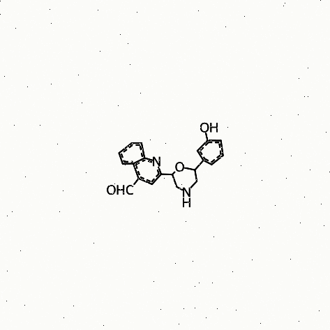 O=Cc1cc(C2CNCC(c3cccc(O)c3)O2)nc2ccccc12